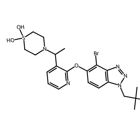 CC(c1cccnc1Oc1ccc2c(nnn2CC(C)(C)C)c1Br)N1CCS(O)(O)CC1